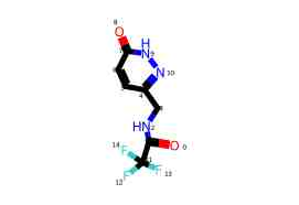 O=C(NCc1ccc(=O)[nH]n1)C(F)(F)F